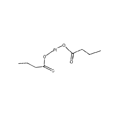 CCCC(=O)[O][Pt][O]C(=O)CCC